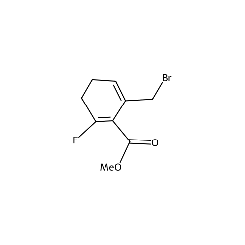 COC(=O)C1=C(F)CCC=C1CBr